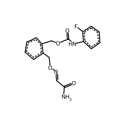 NC(=O)/C=N/OCc1ccccc1COC(=O)Nc1ccccc1F